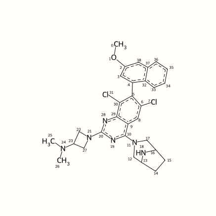 COc1cc(-c2c(Cl)cc3c(N4CC5CCC(C4)N5)nc(N4CC(N(C)C)C4)nc3c2Cl)c2ccccc2c1